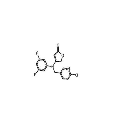 O=C1C=C(N(Cc2ccc(Cl)nc2)c2cc(F)cc(F)c2)CO1